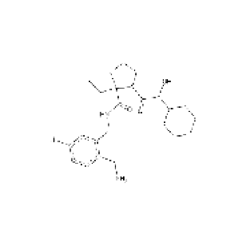 CCC1(C(=O)NCc2cc(Cl)ccc2CN)CCCN1C(=O)C(O)C1CCCCC1